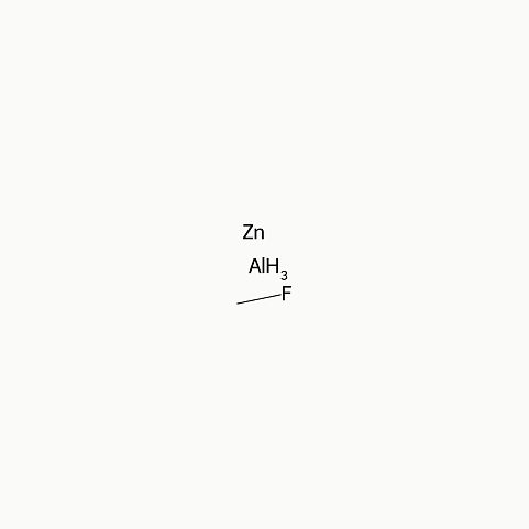 CF.[AlH3].[Zn]